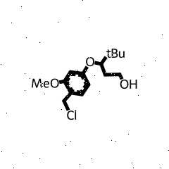 COc1cc(OC(CCO)C(C)(C)C)ccc1CCl